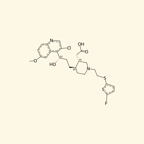 COc1ccc2ncc(Cl)c([C@@H](O)CC[C@@H]3CCN(CCSc4ccc(F)s4)C[C@H]3CC(=O)O)c2c1